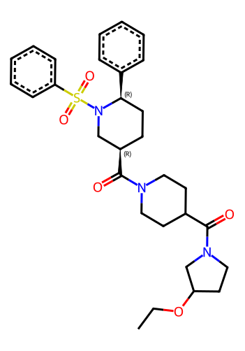 CCOC1CCN(C(=O)C2CCN(C(=O)[C@@H]3CC[C@H](c4ccccc4)N(S(=O)(=O)c4ccccc4)C3)CC2)C1